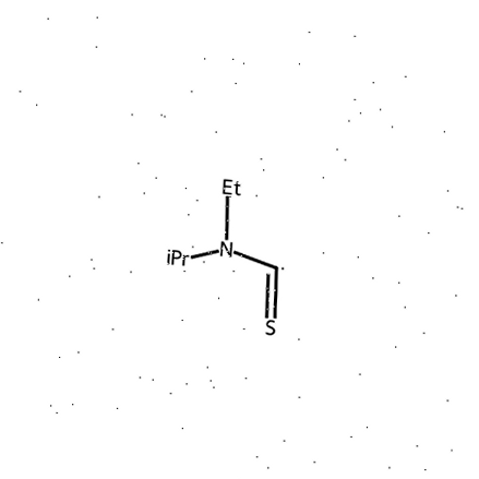 CCN([C]=S)C(C)C